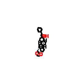 CC1([C@H]2CC[C@H]3[C@@H]4CC[C@H]5C[C@@](O)(C=Cc6ccccc6)CC[C@]5(C)[C@H]4CC[C@]23C)OCCO1